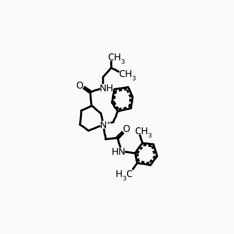 Cc1cccc(C)c1NC(=O)C[N+]1(Cc2ccccc2)CCCC(C(=O)NCC(C)C)C1